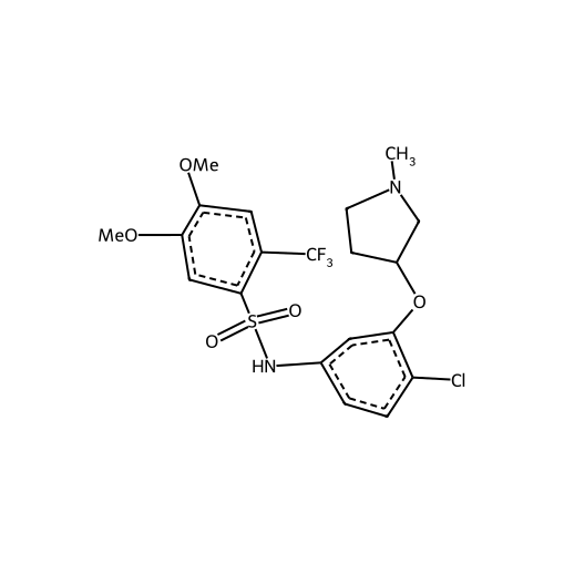 COc1cc(C(F)(F)F)c(S(=O)(=O)Nc2ccc(Cl)c(OC3CCN(C)C3)c2)cc1OC